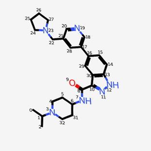 CC(C)N1CCC(NC(=O)c2n[nH]c3ccc(-c4cncc(CN5CCCC5)c4)cc23)CC1